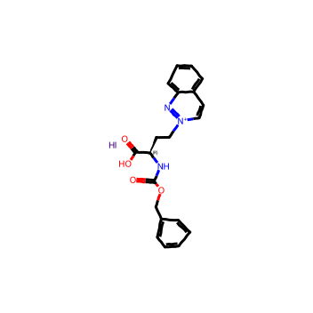 I.O=C(N[C@H](CC[n+]1ccc2ccccc2n1)C(=O)O)OCc1ccccc1